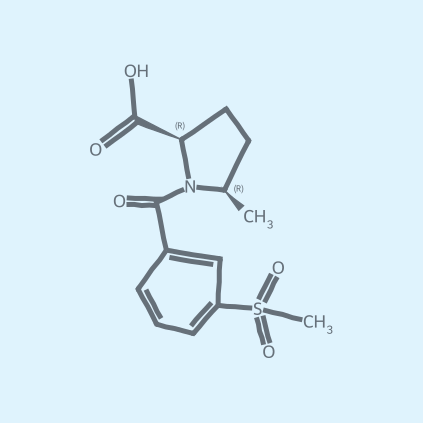 C[C@@H]1CC[C@H](C(=O)O)N1C(=O)c1cccc(S(C)(=O)=O)c1